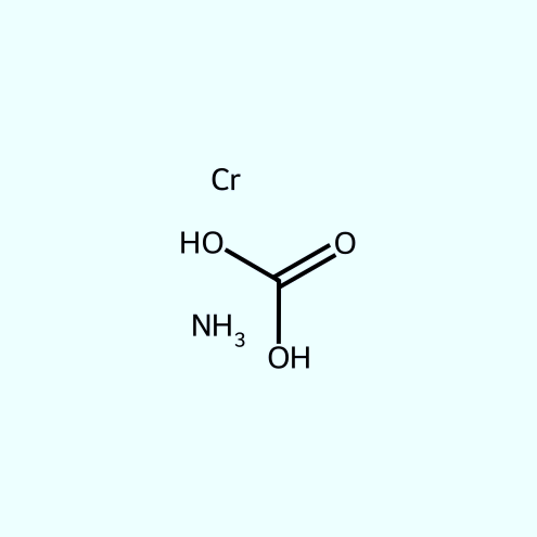 N.O=C(O)O.[Cr]